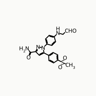 CS(=O)(=O)c1ccc(-c2cc(C(N)=O)nn2-c2ccc(NCC=O)cc2)cc1